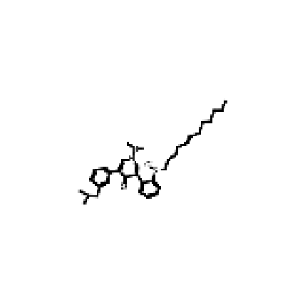 CCCCCC/C=C/CCCC[S+]([O-])c1ccccc1-c1cn(N(C)C)cc(-c2cccc(CC(C)C)c2)c1=O